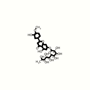 COc1ccc(-c2cc(=O)c3c(O)cc(OC4O[C@H]([C@H](O)[C@@H](O)[C@H](O)[C@@H](C)O)[C@@H](O)[C@H](O)[C@H]4O)cc3o2)cc1O